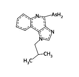 CC(C)Cn1cnc2c([AsH2])nc3ccccc3c21